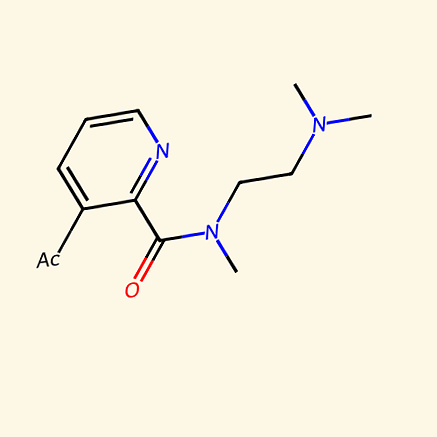 CC(=O)c1cccnc1C(=O)N(C)CCN(C)C